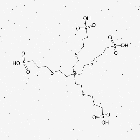 O=S(=O)(O)CCCSCC[Si](CCSCCCS(=O)(=O)O)(CCSCCCS(=O)(=O)O)CCSCCCS(=O)(=O)O